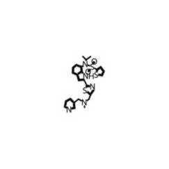 CC(C)N(c1cccc2cc(-c3ncc(CN(C)Cc4cccnc4)s3)[nH]c12)S(=O)(=O)c1cccs1